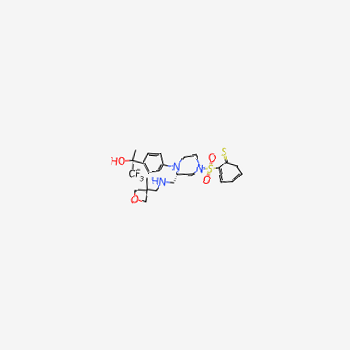 CC1(CNC[C@H]2CN(S(=O)(=O)C3=CC=CCC3=S)CCN2c2ccc(C(C)(O)C(F)(F)F)cc2)COC1